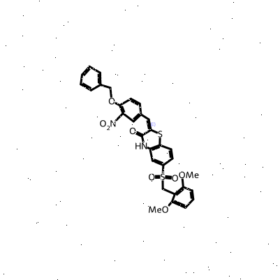 COc1cccc(OC)c1CS(=O)(=O)c1ccc2c(c1)NC(=O)/C(=C\c1ccc(OCc3ccccc3)c([N+](=O)[O-])c1)S2